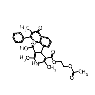 CC(=O)OCCOC(=O)C1=C(C)NC(C)=C(C(=O)O)C1c1cccc2c(=O)c(C)c(-c3ccccc3)oc12